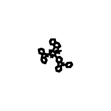 C[Si]1(C)c2ccc3ccccc3c2-c2nc(-n3c4ccccc4c4ccccc43)nc(-c3ccc4c(c3)c3ccccc3n4-c3ccccc3)c21